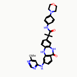 COc1cc(Nc2ccc3c(c2)Nc2ccc(C(C)(C)C(=O)Nc4ccc(N5CCOCC5)cc4)cc2NC3=O)ncn1